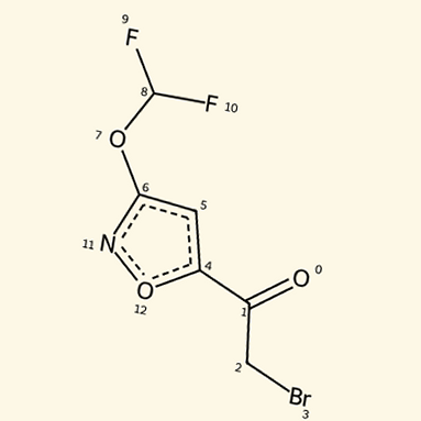 O=C(CBr)c1cc(OC(F)F)no1